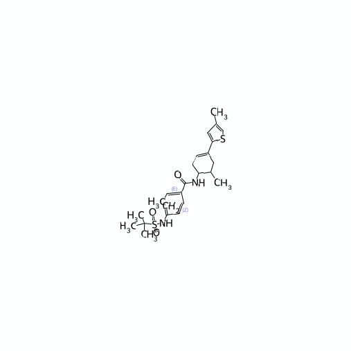 C=C(/C=C\C(=C/C)C(=O)NC1CC=C(c2cc(C)cs2)CC1C)NS(=O)(=O)C(C)(C)C